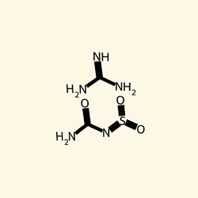 N=C(N)N.NC(=O)N=S(=O)=O